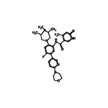 CC1CN(c2cc(F)c(-c3ccc(N4CCOCC4)nn3)cc2NC(=O)c2c[nH]c(=O)cc2C(F)(F)F)CC(C)N1C